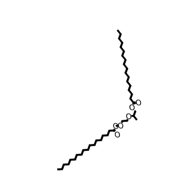 CCCCCCCCCCCCCCCCCC(=O)OCC(C)OCCOOC(=O)CCCCCCCCCCCCCCCCC